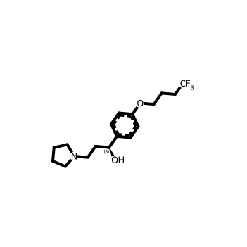 O[C@@H](CCN1CCCC1)c1ccc(OCCCC(F)(F)F)cc1